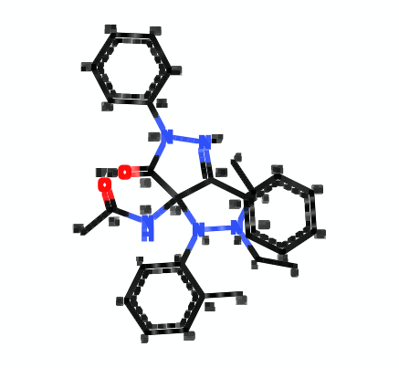 CCN(CC)N(c1ccccc1C)C1(NC(C)=O)C(=O)N(c2ccccc2)N=C1c1ccccc1